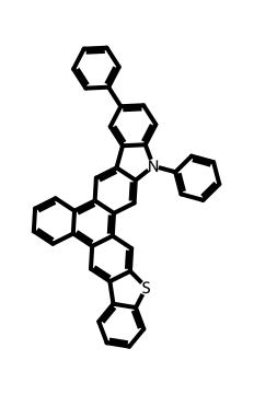 c1ccc(-c2ccc3c(c2)c2cc4c5ccccc5c5cc6c(cc5c4cc2n3-c2ccccc2)sc2ccccc26)cc1